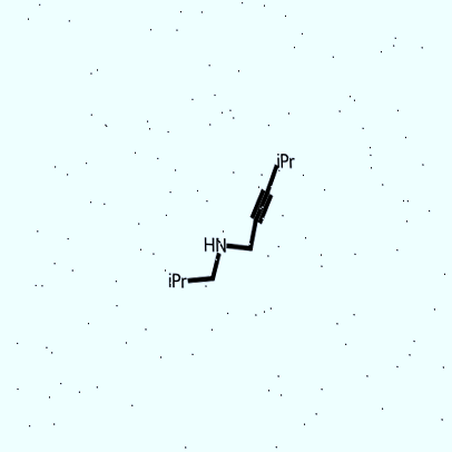 CC(C)C#CCNCC(C)C